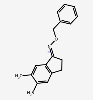 Bc1cc2c(cc1C)/C(=N/OCc1ccccc1)CC2